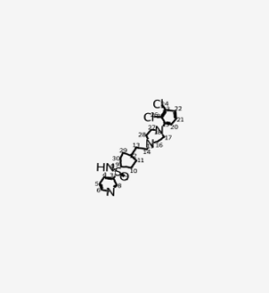 N=S(=O)(c1cccnc1)C1CCC(CCN2CCN(c3cccc(Cl)c3Cl)CC2)CC1